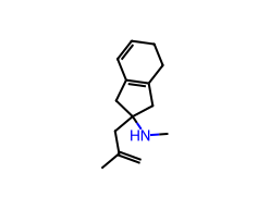 C=C(C)CC1(NC)CC2=C(CCC=C2)C1